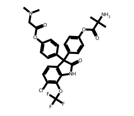 CN(C)CC(=O)Oc1ccc(C2(c3ccc(OC(=O)C(C)(C)N)cc3)C(=O)Nc3c2ccc(Cl)c3OC(F)(F)F)cc1